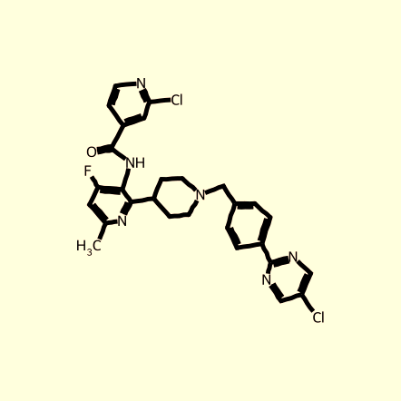 Cc1cc(F)c(NC(=O)c2ccnc(Cl)c2)c(C2CCN(Cc3ccc(-c4ncc(Cl)cn4)cc3)CC2)n1